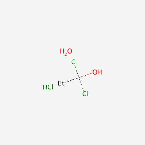 CCC(O)(Cl)Cl.Cl.O